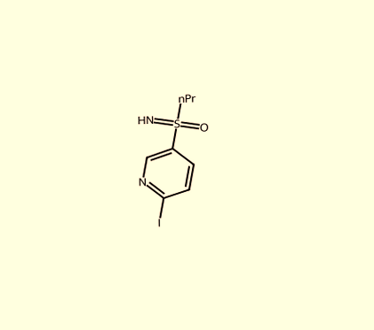 CCCS(=N)(=O)c1ccc(I)nc1